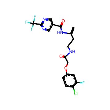 C=C(CCNC(=O)COc1ccc(Cl)c(F)c1)NC(=O)c1cnc(C(F)(F)F)nc1